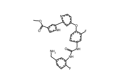 COC(=O)c1c[nH]c(-c2cc(Oc3ccc(NC(=O)Nc4cc(CN)ccc4F)cc3F)ccn2)c1